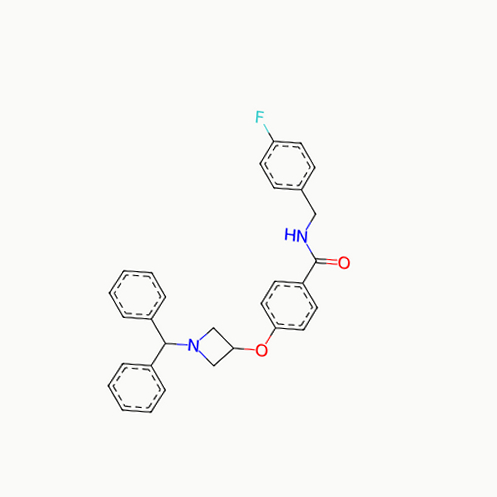 O=C(NCc1ccc(F)cc1)c1ccc(OC2CN(C(c3ccccc3)c3ccccc3)C2)cc1